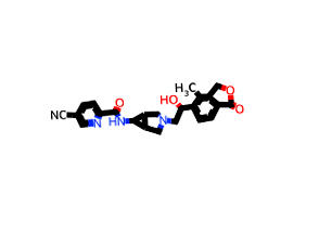 Cc1c(C(O)CN2CC3C(C2)C3NC(=O)c2ccc(C#N)cn2)ccc2c1COC2=O